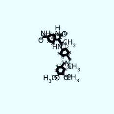 COc1ccc(CN(C)Cc2ccc(NC(C)=C3C(=O)Nc4cc(C(N)=O)ccc43)cc2)cc1OC